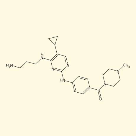 CN1CCN(C(=O)c2ccc(Nc3ncc(C4CC4)c(NCCCN)n3)cc2)CC1